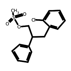 CS(=O)(=O)OCC(Cc1ccccc1Cl)c1ccccc1